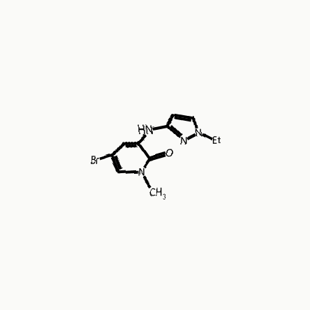 CCn1ccc(Nc2cc(Br)cn(C)c2=O)n1